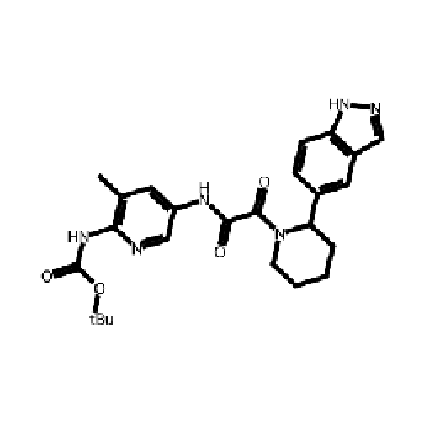 Cc1cc(NC(=O)C(=O)N2CCCCC2c2ccc3[nH]ncc3c2)cnc1NC(=O)OC(C)(C)C